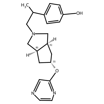 CC(CN1C[C@H]2C[C@H](Oc3cnccn3)C[C@H]2C1)c1ccc(O)cc1